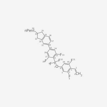 C=Cc1c(F)cc(OC(F)(F)c2c(F)cc(-c3ccc4c(c3)CC(CCCCC)C4)cc2F)cc1F